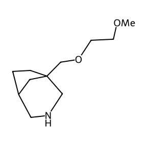 COCCOCC12CCC(CNC1)C2